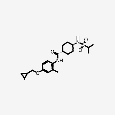 Cc1cc(OCC2CC2)ccc1NC(=O)[C@H]1CC[C@H](NS(=O)(=O)C(C)C)CC1